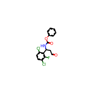 O=CCC(NC(=O)Oc1ccccc1)c1c(Cl)ccc(Cl)c1F